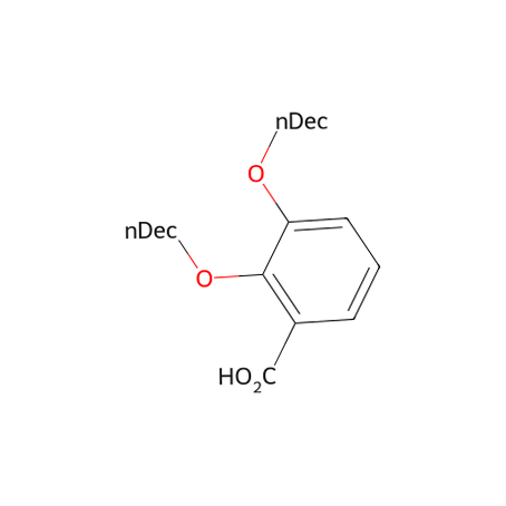 CCCCCCCCCCOc1cccc(C(=O)O)c1OCCCCCCCCCC